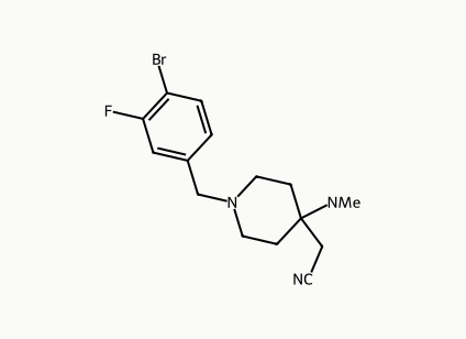 CNC1(CC#N)CCN(Cc2ccc(Br)c(F)c2)CC1